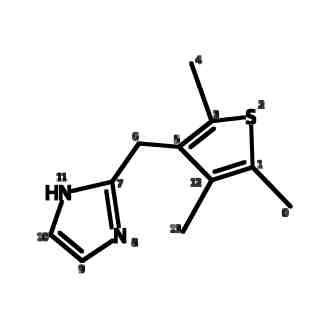 Cc1sc(C)c(Cc2ncc[nH]2)c1C